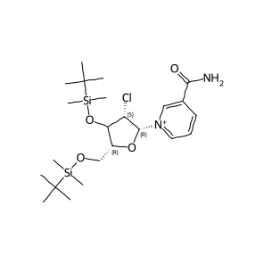 CC(C)(C)[Si](C)(C)OC[C@H]1O[C@@H]([n+]2cccc(C(N)=O)c2)[C@@H](Cl)C1O[Si](C)(C)C(C)(C)C